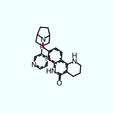 O=c1[nH]c2cc(CN3C4CCC3CN(c3cnccn3)C4)ccc2c2c1CCCN2